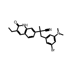 CCc1cc2ccc(C(C)(C#N)Cc3cc(Br)cc(N(C)C)c3)cc2[nH]c1=O